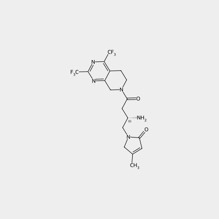 CC1=CC(=O)N(C[C@@H](N)CC(=O)N2CCc3c(nc(C(F)(F)F)nc3C(F)(F)F)C2)C1